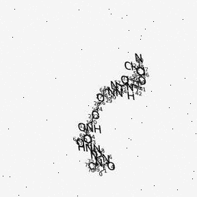 CCC1C(=O)N(C)c2cnc(Nc3ccc(C(=O)NCCCOCCCCOC4CCN(c5ncc(C(=O)NC6C(C)(C)C(Oc7ccc(C#N)c(Cl)c7)C6(C)C)cn5)CC4)cc3OC)nc2N1C1CCCC1